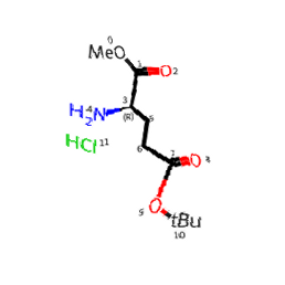 COC(=O)[C@H](N)CCC(=O)OC(C)(C)C.Cl